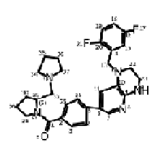 O=C(c1ccc(-c2cnc3c(c2)N(Cc2cc(F)ccc2F)CCN3)cc1)N1CCC[C@H]1CN1CCCC1